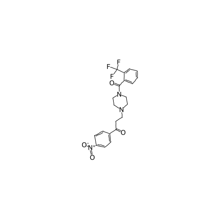 O=C(CCN1CCN(C(=O)c2ccccc2C(F)(F)F)CC1)c1ccc([N+](=O)[O-])cc1